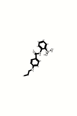 CCCOc1ccc(C(=O)[N]c2ccccc2[N+](=O)[O-])cc1